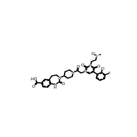 C[S+]([O-])CCn1c(=O)c(-c2cccc(F)c2Cl)cn(CC(=O)N2CCC(N3CCc4cc(C(=O)O)ccc4NC3=O)CC2)c1=O